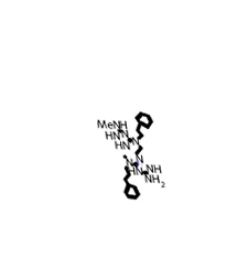 CNC(=N)NC(=N)N(CC/N=C(/NC(=N)N)N(C)CCCc1ccccc1)CCc1ccccc1